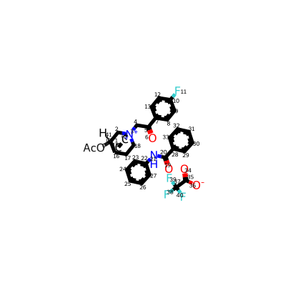 CC(=O)O[C@H]1C[N+]2(CC(=O)c3ccc(F)cc3)CCC1CC2.O=C(Nc1ccccc1)c1ccccc1.O=C([O-])C(F)(F)F